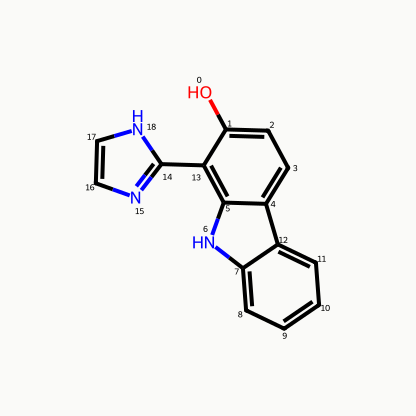 Oc1ccc2c([nH]c3ccccc32)c1-c1ncc[nH]1